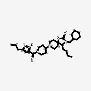 CCCCC1N(CC2CCCCC2)C(=O)OC12CCN(C1CCN(C(=O)c3cc(CCC)nn3C)CC1)CC2